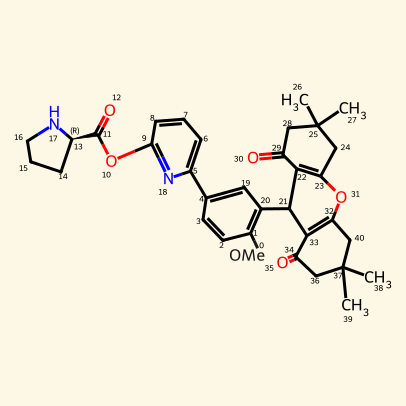 COc1ccc(-c2cccc(OC(=O)[C@H]3CCCN3)n2)cc1C1C2=C(CC(C)(C)CC2=O)OC2=C1C(=O)CC(C)(C)C2